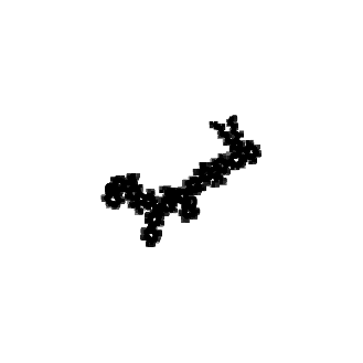 CCCCCCCC1(CCCCCCC)c2ccccc2-c2ccc(-c3ccc4c(c3)C(C)(C)c3cc(-c5ccc(-c6cc7c(c8c6oc6ccccc68)-c6ccc(N(c8ccc(-c9ccccc9)cc8)c8ccc9c(c8)C(C)(C)c8cc%10c(cc8-9)C(C)(C)c8ccc9oc%11ccccc%11c9c8-%10)cc6C7(C)C)cc5)ccc3-4)cc21